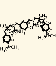 CN(C)c1ccc(CC(C)(C)CN(CC2CCCC(CN(CC(C)(C)Cc3ccc(N(C)C)cc3)C(N)=O)C2)C(N)=O)cc1